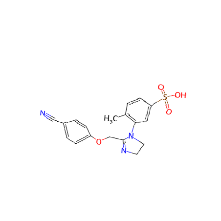 Cc1ccc(S(=O)(=O)O)cc1N1CCN=C1COc1ccc(C#N)cc1